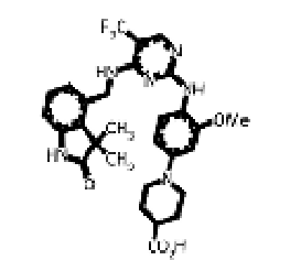 COc1cc(N2CCC(C(=O)O)CC2)ccc1Nc1ncc(C(F)(F)F)c(NCc2cccc3c2C(C)(C)C(=O)N3)n1